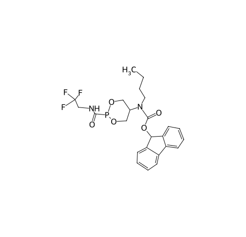 CCCCN(C(=O)OC1c2ccccc2-c2ccccc21)C1COP(C(=O)NCC(F)(F)F)OC1